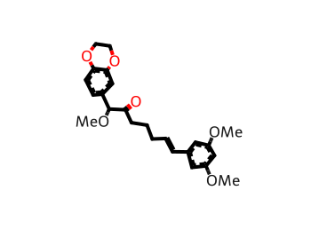 COc1cc(/C=C/CCCC(=O)C(OC)c2ccc3c(c2)OCCO3)cc(OC)c1